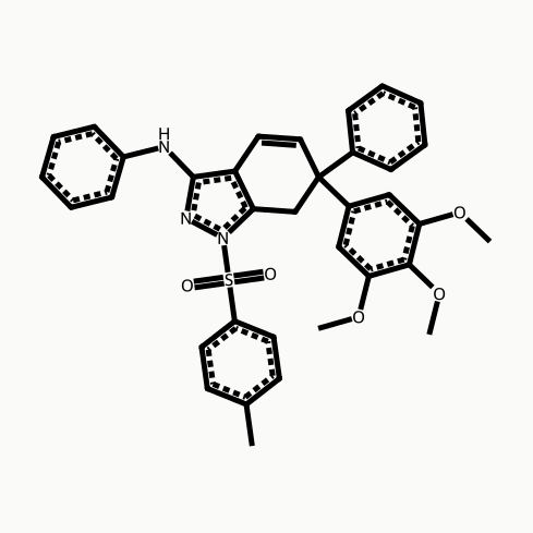 COc1cc(C2(c3ccccc3)C=Cc3c(Nc4ccccc4)nn(S(=O)(=O)c4ccc(C)cc4)c3C2)cc(OC)c1OC